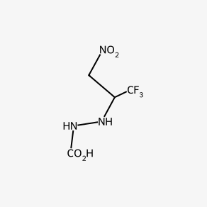 O=C(O)NNC(C[N+](=O)[O-])C(F)(F)F